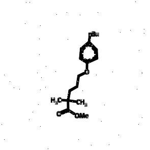 CCCCc1ccc(OCCCC(C)(C)C(=O)OC)cc1